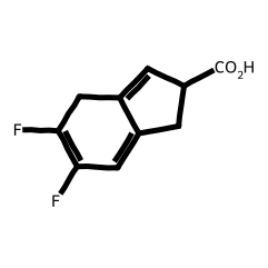 O=C(O)C1C=C2CC(F)=C(F)C=C2C1